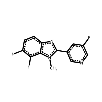 Cn1c(-c2cncc(F)c2)nc2ccc(F)c(F)c21